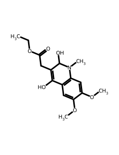 CCOC(=O)CC1=C(O)c2cc(OC)c(OC)cc2N(C)C1O